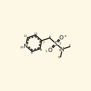 CN(C)S(=O)(=O)Cc1ccncc1